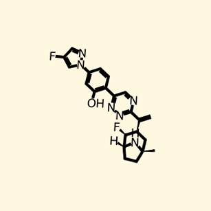 C=C(c1ncc(-c2ccc(-n3cc(F)cn3)cc2O)nn1)[C@H]1C[C@]2(C)CC[C@@H](N2)[C@H]1F